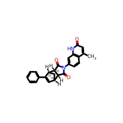 Cc1cc(=O)[nH]c2cc(N3C(=O)[C@@H]4[C@H](C3=O)[C@@H]3C=C(c5ccccc5)[C@H]4C3)ccc12